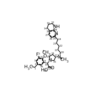 CCc1cc(F)c(OC)c([C@H](C(=O)O)N2CC[C@@H](N(C)CCCCCc3ccc4c(n3)NCCC4)C2)c1